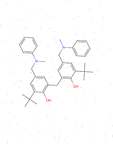 CN(Cc1cc(Cc2cc(CN(C)c3ccccc3)cc(C(C)(C)C)c2O)c(O)c(C(C)(C)C)c1)c1ccccc1